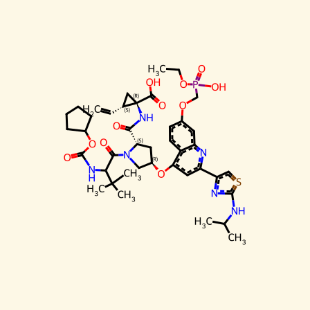 C=C[C@@H]1C[C@]1(NC(=O)[C@@H]1C[C@@H](Oc2cc(-c3csc(NC(C)C)n3)nc3cc(OCP(=O)(O)OCC)ccc23)CN1C(=O)C(NC(=O)OC1CCCC1)C(C)(C)C)C(=O)O